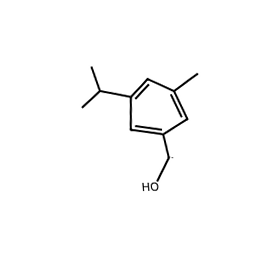 Cc1cc([CH]O)cc(C(C)C)c1